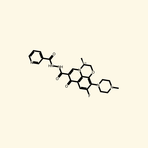 C[C@H]1COc2c(N3CCN(C)CC3)c(F)cc3c(=O)c(C(=O)NNC(=O)c4cccnc4)cn1c23